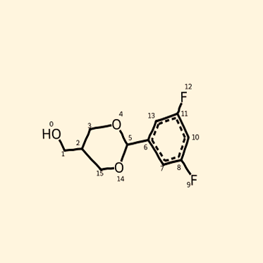 OCC1COC(c2cc(F)cc(F)c2)OC1